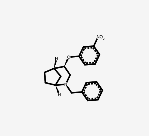 O=[N+]([O-])c1cccc(O[C@H]2CN(Cc3ccccc3)[C@@H]3CC[C@H]2C3)c1